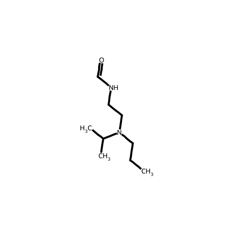 CCCN(CCNC=O)C(C)C